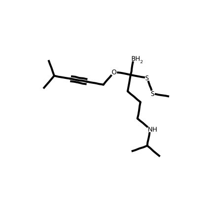 BC(CCCNC(C)C)(OCC#CC(C)C)SSC